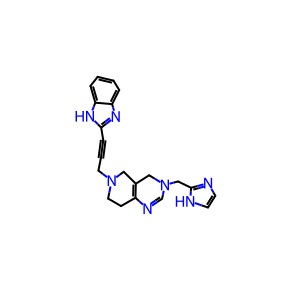 C(#Cc1nc2ccccc2[nH]1)CN1CCC2=C(CN(Cc3ncc[nH]3)C=N2)C1